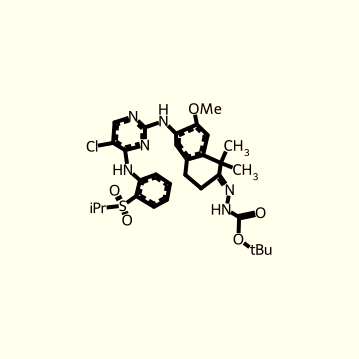 COc1cc2c(cc1Nc1ncc(Cl)c(Nc3ccccc3S(=O)(=O)C(C)C)n1)CC/C(=N\NC(=O)OC(C)(C)C)C2(C)C